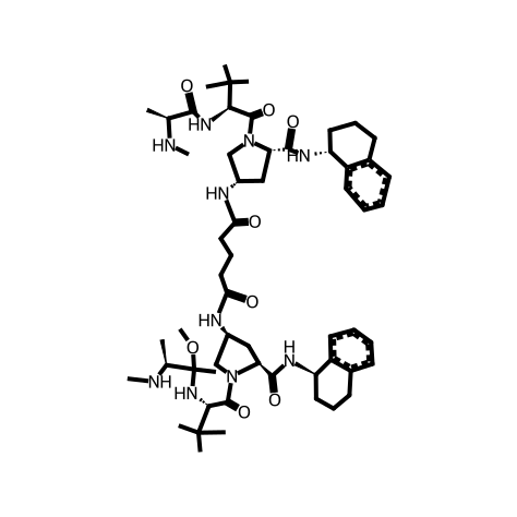 CN[C@@H](C)C(=O)N[C@H](C(=O)N1C[C@@H](NC(=O)CCCC(=O)N[C@H]2C[C@@H](C(=O)N[C@@H]3CCCc4ccccc43)N(C(=O)[C@@H](NC(C)(OC)[C@H](C)NC)C(C)(C)C)C2)C[C@H]1C(=O)N[C@@H]1CCCc2ccccc21)C(C)(C)C